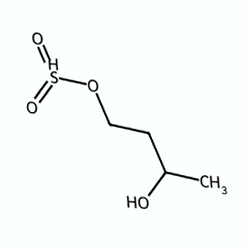 CC(O)CCO[SH](=O)=O